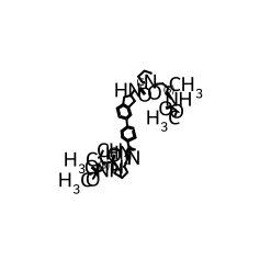 COC(=O)NC[C@@H](C)CC(=O)N1CCC[C@H]1C(=O)NC1Cc2ccc(-c3ccc(-c4cnc(C5CCCN5C(=O)[C@@H](NC(=O)OC)C(C)C)[nH]4)cc3)cc2C1